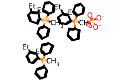 CCc1cccc([P+](C)(c2ccccc2)c2ccccc2)c1CC.CCc1cccc([P+](C)(c2ccccc2)c2ccccc2)c1CC.CCc1cccc([P+](C)(c2ccccc2)c2ccccc2)c1CC.O=P([O-])([O-])[O-]